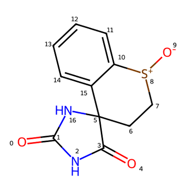 O=C1NC(=O)C2(CC[S+]([O-])c3ccccc32)N1